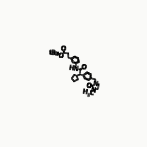 CN1CCN(Cc2ccc(C(C(=O)Nc3cccc(CCC(=O)OC(C)(C)C)c3)C3CCCC3)cc2)C1=O